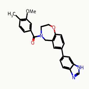 COc1cc(C(=O)N2CCOc3ccc(-c4ccc5nc[nH]c5c4)cc3C2)ccc1C